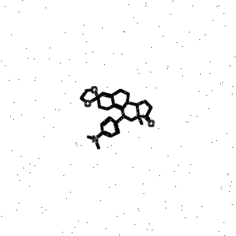 CN(C)c1ccc(C2CC3(C)C(=O)CCC3C3CCC4=CC5(CCC4=C23)OCCO5)cc1